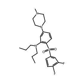 CCCN(CCC)c1cc(N2CCN(C)CC2)ccc1S(=O)(=O)c1ccc(F)c(F)c1